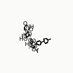 Cc1ccc(-c2ccc(OP(=O)(N[C@@H](C)C(=O)OC(C)C)OC[C@H]3O[C@@H](n4ccc(=O)[nH]c4=O)[C@](C)(F)[C@@H]3O)cc2)cc1